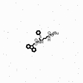 CC(C)(C)OC(=O)NCCCC[C@H](CSc1ccccc1)NC(=O)OCC1c2ccccc2-c2ccccc21